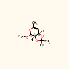 CO[C@@H]1OC(C)=C[C@H]2OC(C)(C)O[C@@H]12